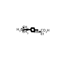 CC[C@H](NCc1ccc(C#C[Si](C)(C)C)cc1)C(=O)O